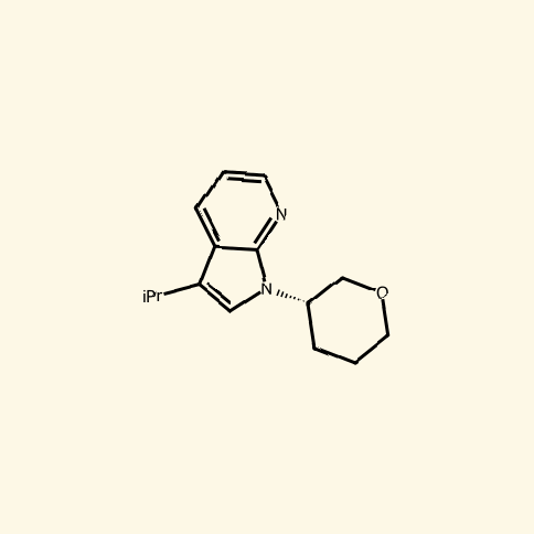 CC(C)c1cn([C@H]2CCCOC2)c2ncccc12